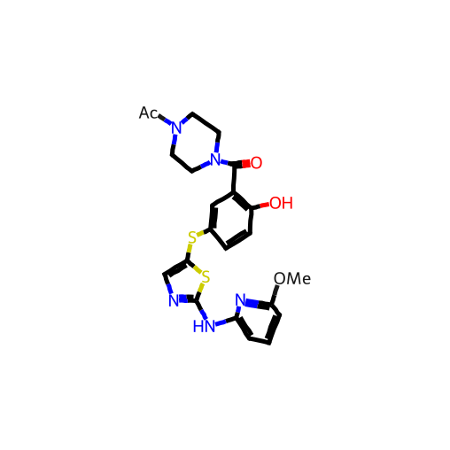 COc1cccc(Nc2ncc(Sc3ccc(O)c(C(=O)N4CCN(C(C)=O)CC4)c3)s2)n1